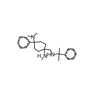 CN(C)C1(c2ccccc2)CCC(N)(CNC(C)(C)c2ccccc2)CC1